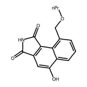 CCCOCc1cccc2c(O)cc3c(c12)C(=O)NC3=O